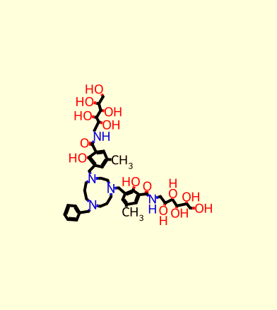 Cc1cc(CN2CCCN(Cc3ccccc3)CCCN(Cc3cc(C)cc(C(=O)NCC(O)C(O)C(O)C(O)CO)c3O)CC2)c(O)c(C(=O)NCC(O)C(O)C(O)C(O)CO)c1